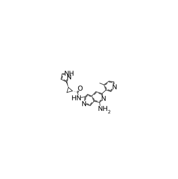 Cc1ccncc1-c1cc2cc(NC(=O)[C@@H]3C[C@H]3c3cc[nH]n3)ncc2c(N)n1